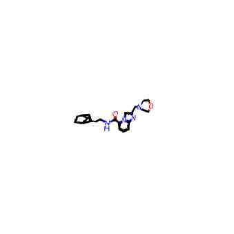 O=C(NCCC1CC2CCC1C2)c1cccc2nc(CN3CCOCC3)cn12